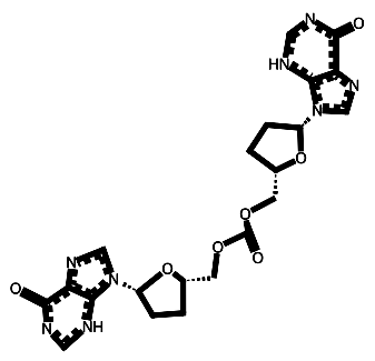 O=C(OC[C@@H]1CC[C@H](n2cnc3c(=O)nc[nH]c32)O1)OC[C@@H]1CC[C@H](n2cnc3c(=O)nc[nH]c32)O1